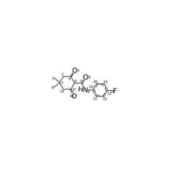 CC1(C)CC(=O)C(C(=O)Nc2ccc(F)cc2)C(=O)C1